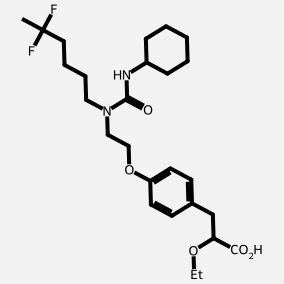 CCOC(Cc1ccc(OCCN(CCCCC(C)(F)F)C(=O)NC2CCCCC2)cc1)C(=O)O